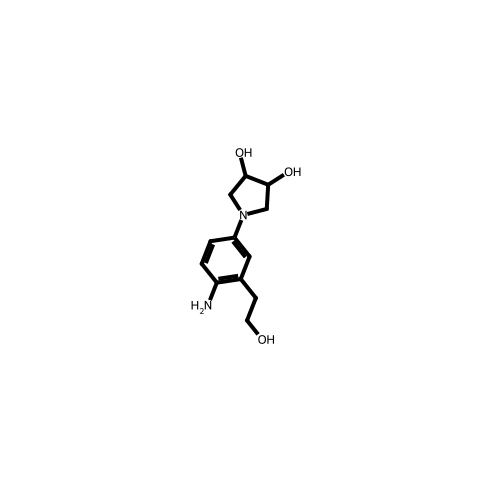 Nc1ccc(N2CC(O)C(O)C2)cc1CCO